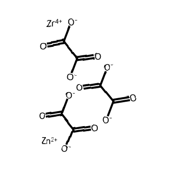 O=C([O-])C(=O)[O-].O=C([O-])C(=O)[O-].O=C([O-])C(=O)[O-].[Zn+2].[Zr+4]